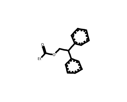 CCC(=O)OCC(c1ccccc1)c1ccccc1